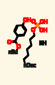 CCCCCCCCCCCCCCCCOP(=O)(O)O.CCCCOC(=O)c1ccc(O)cc1.[KH]